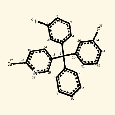 Fc1cccc(C(c2ccccc2)(c2ccc(Br)nc2)c2cccc(F)c2)c1